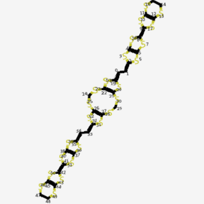 C(C=C1SC2=C(S1)SC(=C1SC3=C(SCCS3)S1)S2)=C1SC2=C(SCSC3=C(SCS2)SC(=CC=C2SC4=C(S2)SC(=C2SC5=C(SCCS5)S2)S4)S3)S1